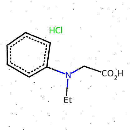 CCN(CC(=O)O)c1ccccc1.Cl